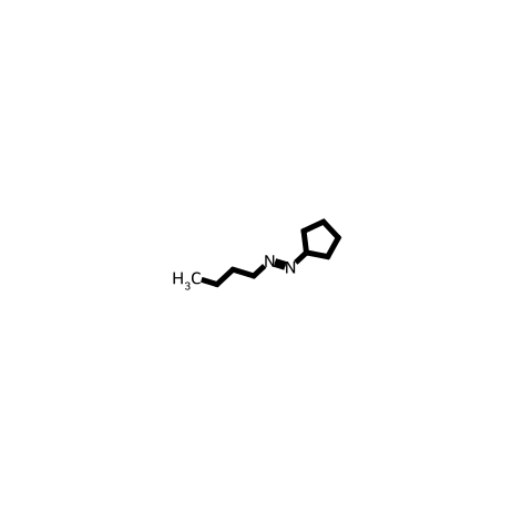 CCCCN=NC1CCCC1